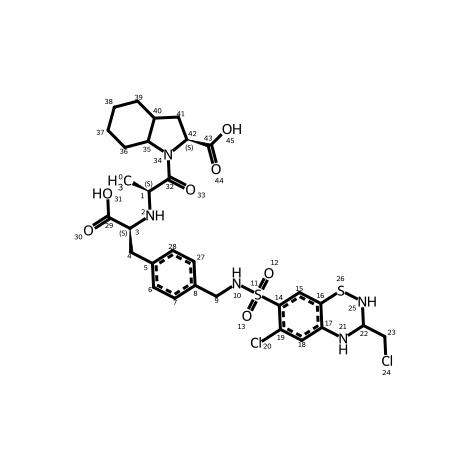 C[C@H](N[C@@H](Cc1ccc(CNS(=O)(=O)c2cc3c(cc2Cl)NC(CCl)NS3)cc1)C(=O)O)C(=O)N1C2CCCCC2C[C@H]1C(=O)O